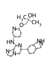 CC(C)(O)COc1ccc(Nc2nc(-c3ccc4cn[nH]c4c3)cn3ccnc23)cn1